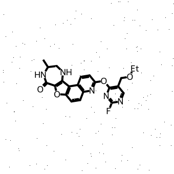 CCOCc1cnc(F)nc1Oc1ccc2c(ccc3oc4c(c32)NCC(C)NC4=O)n1